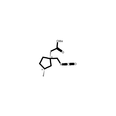 COC(=O)C[C@@]1(CN=C=O)CC[C@@H](C)C1